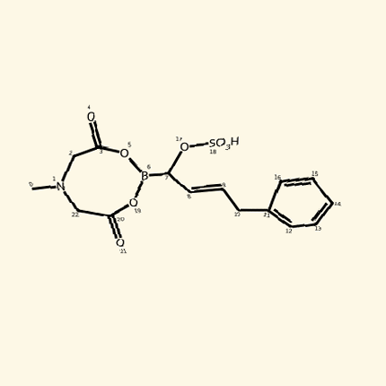 CN1CC(=O)OB(C(/C=C/Cc2ccccc2)OS(=O)(=O)O)OC(=O)C1